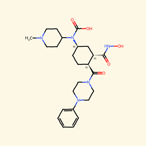 CN1CCC(N(C(=O)O)[C@@H]2CC[C@H](C(=O)N3CCN(c4ccccc4)CC3)[C@@H](C(=O)NO)C2)CC1